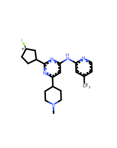 CN1CCC(c2cc(Nc3cc(C(F)(F)F)ccn3)nc(C3CC[C@@H](F)C3)n2)CC1